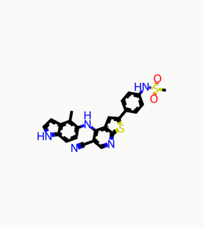 Cc1c(Nc2c(C#N)cnc3sc(-c4ccc(NS(C)(=O)=O)cc4)cc23)ccc2[nH]ccc12